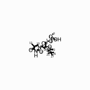 COP(O)OC[C@H]1O[C@@H](n2cc(C)c(=O)[nH]c2=O)C[C@@H]1O[Si](C)(C)C(C)(C)C